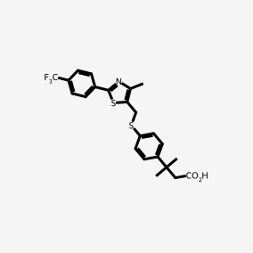 Cc1nc(-c2ccc(C(F)(F)F)cc2)sc1CSc1ccc(C(C)(C)CC(=O)O)cc1